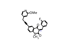 COc1cc(CC#Cc2ccc3c(c2)C(=O)/C(=C\c2cccc(F)c2)C(=O)N3C)ccn1